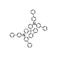 C1=C(N(c2ccc(-c3ccccc3)cc2)c2ccc(-c3ccccc3)cc2)C=C(C2(c3cccc(N(c4ccc(-c5ccccc5)cc4)c4ccc(-c5ccccc5)cc4)c3)c3ccccc3-c3ccccc32)CC1